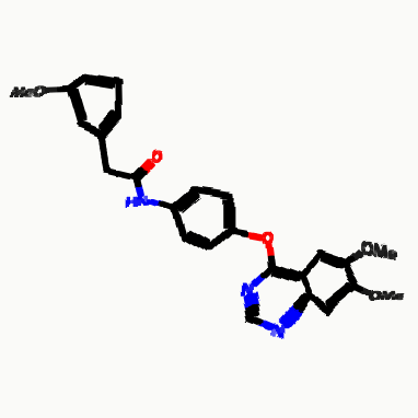 COc1cccc(CC(=O)Nc2ccc(Oc3ncnc4cc(OC)c(OC)cc34)cc2)c1